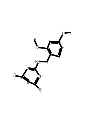 COc1ccc(CNc2nc(Cl)cc(Cl)n2)c(OC)c1